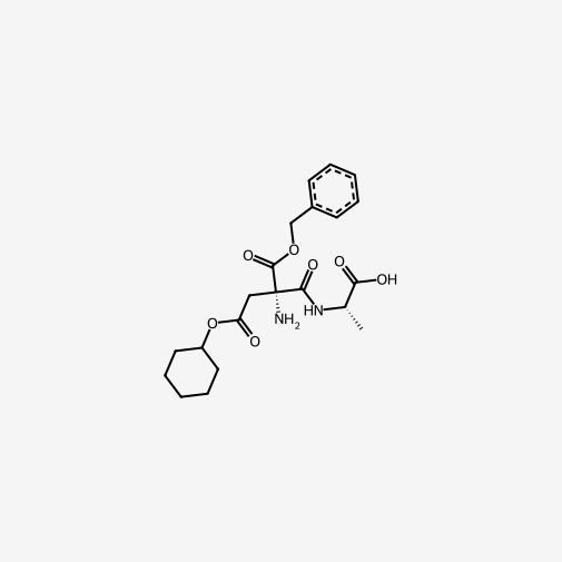 C[C@H](NC(=O)[C@@](N)(CC(=O)OC1CCCCC1)C(=O)OCc1ccccc1)C(=O)O